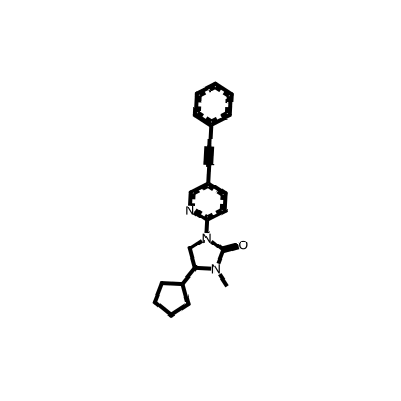 CN1C(=O)N(c2ccc(C#Cc3ccccc3)cn2)CC1C1CCCC1